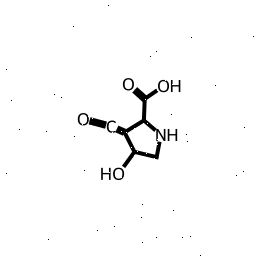 O=C=C1C(O)CNC1C(=O)O